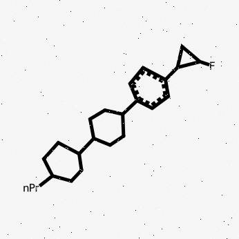 CCCC1CCC(C2CCC(c3ccc(C4CC4F)cc3)CC2)CC1